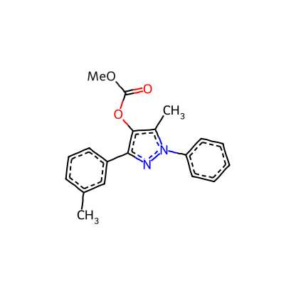 COC(=O)Oc1c(-c2cccc(C)c2)nn(-c2ccccc2)c1C